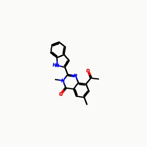 CC(=O)c1cc(C)cc2c(=O)n(C)c(-c3cc4ccccc4[nH]3)nc12